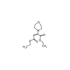 CCOC(=O)C=C(C(=O)OCC)N1CCOCC1